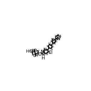 O[C@@H]1CO[C@H]2[C@@H]1OC[C@H]2Oc1nc2nc(-c3ccc(-c4ccc(-n5ccnn5)nc4)cc3)c(Cl)cc2[nH]1